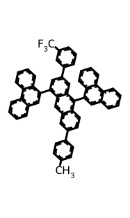 Cc1ccc(-c2ccc3c(-c4cc5ccccc5c5ccccc45)c4cc(-c5cccc(C(F)(F)F)c5)cc(-c5cc6ccccc6c6ccccc56)c4cc3c2)cc1